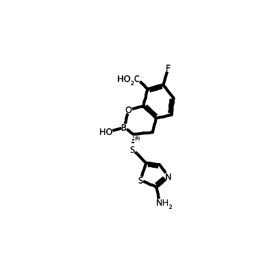 Nc1ncc(S[C@H]2Cc3ccc(F)c(C(=O)O)c3OB2O)s1